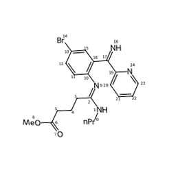 CCCN/C(CCCC(=O)OC)=N/c1ccc(Br)cc1C(=N)c1ccccn1